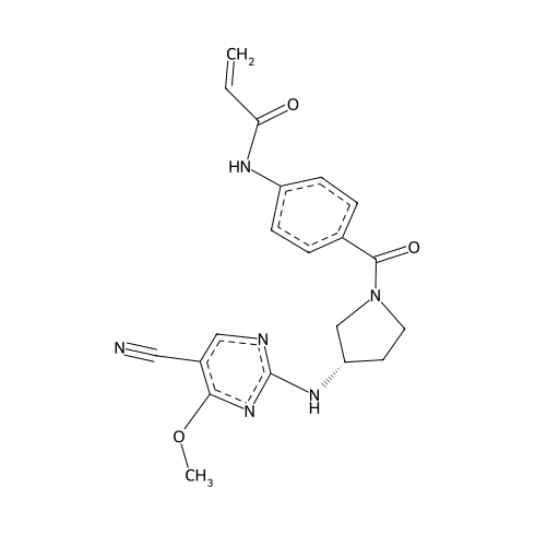 C=CC(=O)Nc1ccc(C(=O)N2CC[C@H](Nc3ncc(C#N)c(OC)n3)C2)cc1